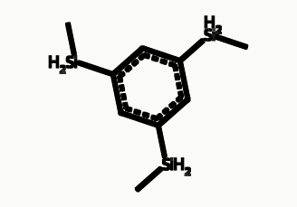 C[SiH2]c1cc([SiH2]C)cc([SiH2]C)c1